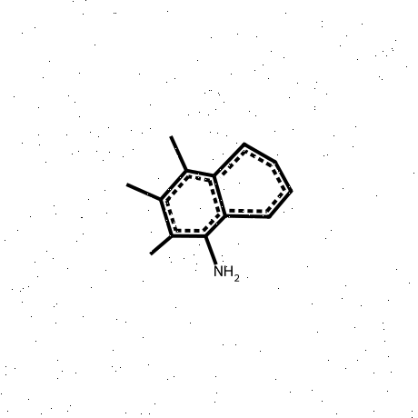 Cc1c(C)c(N)c2ccccc2c1C